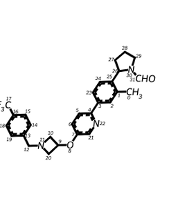 Cc1cc(-c2ccc(OC3CN(Cc4ccc(C(F)(F)F)cc4)C3)cn2)ccc1C1CCCN1C=O